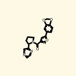 O=C(c1cc(-c2ccc3c(c2)OCO3)on1)N1CCCC1c1cnccn1